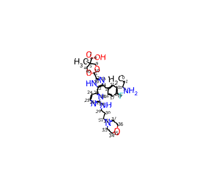 C=CCN.CC1(C(=O)O)COC(c2nc(-c3ccc(F)cc3)c(-c3ccnc(NCCCN4CCOCC4)n3)[nH]2)OC1